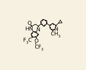 Cc1cc(-c2cccc(C3=Nc4cc(OCC(F)(F)F)c(C(F)(F)F)cc4NC(=O)C3)c2)cc(C2CC2)n1